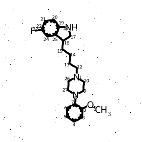 COc1ccccc1N1CCN(CCCCC2CNc3ccc(F)cc32)CC1